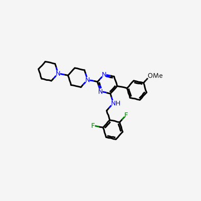 COc1cccc(-c2cnc(N3CCC(N4CCCCC4)CC3)nc2NCc2c(F)cccc2F)c1